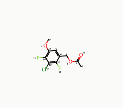 COc1cc(COC(C)=O)c(F)c(Cl)c1F